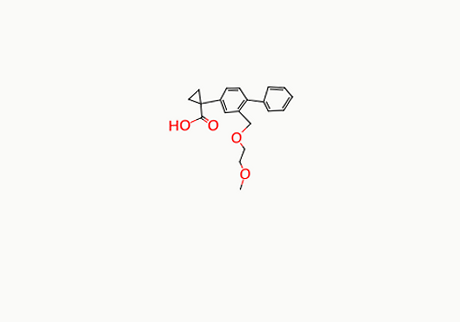 COCCOCc1cc(C2(C(=O)O)CC2)ccc1-c1ccccc1